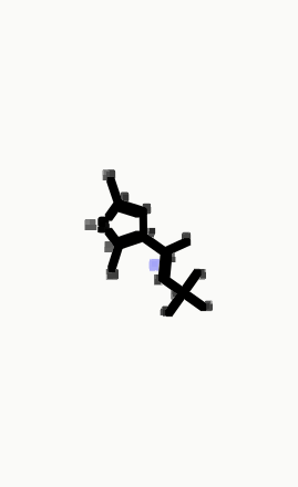 C/C(=C\C(C)(C)C)c1cc(C)sc1C